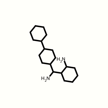 NC1CCCCC1C(N)C1CCC(C2CCCCC2)CC1